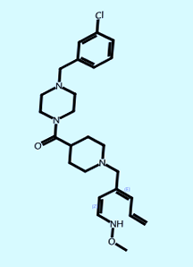 C=C/C=C(\C=C/NOC)CN1CCC(C(=O)N2CCN(Cc3cccc(Cl)c3)CC2)CC1